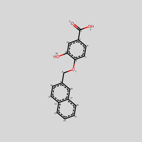 O=C(O)c1ccc(OCc2ccc3ccccc3c2)c(O)c1